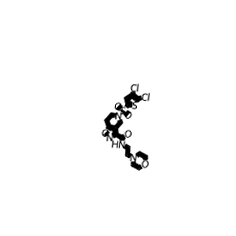 O=C(NCCN1CCOCC1)c1noc2c1CN(S(=O)(=O)c1cc(Cl)c(Cl)s1)CC2